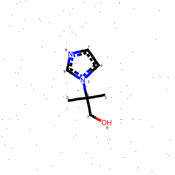 CC(C)(CO)n1ccnc1